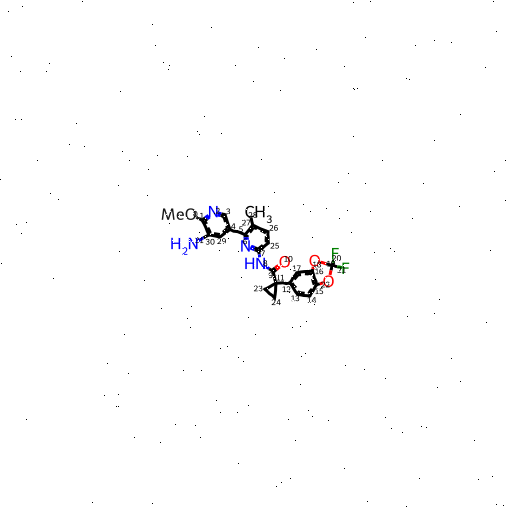 COc1ncc(-c2nc(NC(=O)C3(c4ccc5c(c4)OC(F)(F)O5)CC3)ccc2C)cc1N